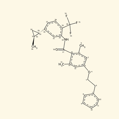 Cc1cc(OCCc2ccccc2)cc(C)c1C(=O)Nc1cc([C@H]2C[C@@H]2C)ccc1C(F)(F)F